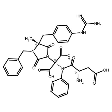 CC(=O)[C@@](C(=O)O)(N1C(=O)N(Cc2ccccc2)[C@](C)(Cc2ccc(NC(=N)N)cc2)C1=O)N(C(=O)[C@@H](N)CC(=O)O)c1ccccc1